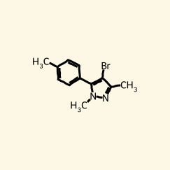 Cc1ccc(-c2c(Br)c(C)nn2C)cc1